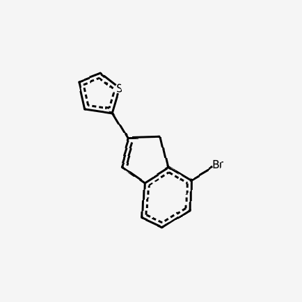 Brc1cccc2c1CC(c1cccs1)=C2